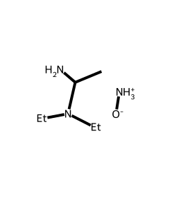 CCN(CC)C(C)N.[NH3+][O-]